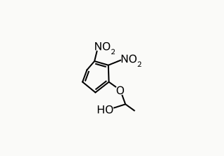 CC(O)Oc1cccc([N+](=O)[O-])c1[N+](=O)[O-]